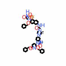 C[C@H]1CN(c2ccc3c(c2)n(C)c(=O)n3-c2ccc(OCc3ccccc3)nc2OCc2ccccc2)CCN1CC(=O)Nc1ccc2c(F)c(N3CC(=O)NS3(=O)=O)c(OCc3ccccc3)cc2c1